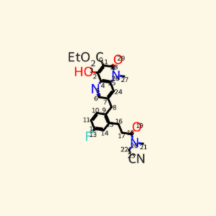 CCOC(=O)c1c(O)c2ncc(Cc3ccc(F)cc3CCC(=O)N(C)CC#N)cc2n(C)c1=O